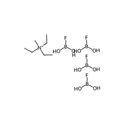 CC[N+](C)(CC)CC.OB(O)F.OB(O)F.OB(O)F.OB(O)F